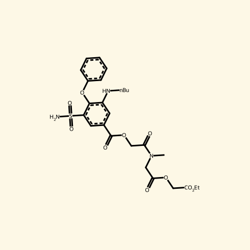 CCCCNc1cc(C(=O)OCC(=O)N(C)CC(=O)OCC(=O)OCC)cc(S(N)(=O)=O)c1Oc1ccccc1